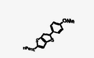 CCCCCc1cc2sc(-c3ccc(OC)cc3)cc2s1